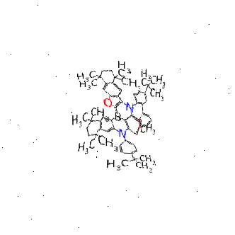 Cc1cc2c3c(c1)N(c1ccc(C(C)(C)C)cc1-c1ccccc1)c1c(oc4cc5c(cc14)C(C)(C)CCC5(C)C)B3c1cc3c(cc1N2c1ccc(C(C)(C)C)cc1)C(C)(C)CCC3(C)C